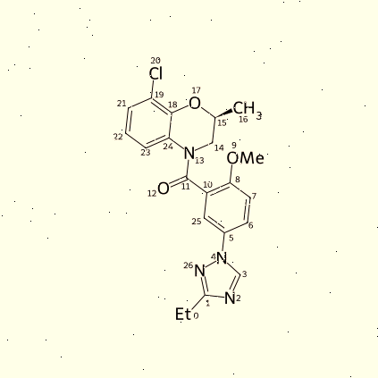 CCc1ncn(-c2ccc(OC)c(C(=O)N3C[C@H](C)Oc4c(Cl)cccc43)c2)n1